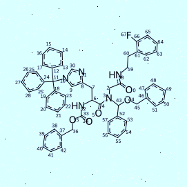 O=C(CN(C(=O)C(Cc1cn(C(c2ccccc2)(c2ccccc2)c2ccccc2)cn1)NC(=O)OCc1ccccc1)C(OCc1ccccc1)c1ccccc1)NCCc1ccccc1F